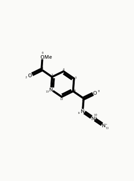 COC(=O)c1ccc(C(=O)N=[N+]=[N-])cn1